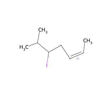 C/C=C\CC(I)C(C)C